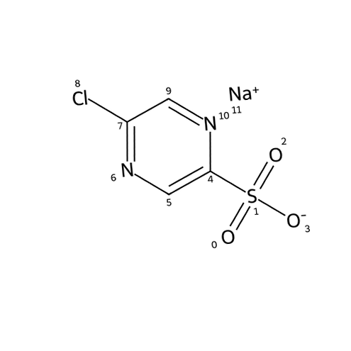 O=S(=O)([O-])c1cnc(Cl)cn1.[Na+]